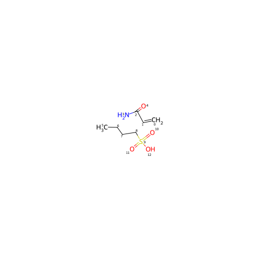 C=CC(N)=O.CCCCS(=O)(=O)O